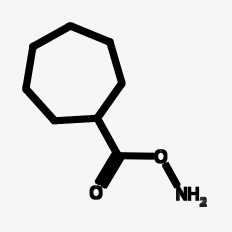 NOC(=O)C1CCCCCC1